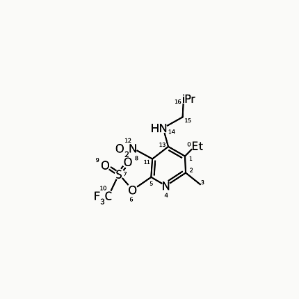 CCc1c(C)nc(OS(=O)(=O)C(F)(F)F)c([N+](=O)[O-])c1NCC(C)C